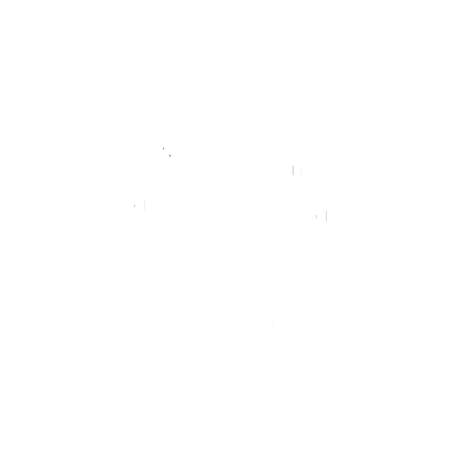 OC(c1ccnc(Cl)c1)c1ccc(Cl)cc1Cl